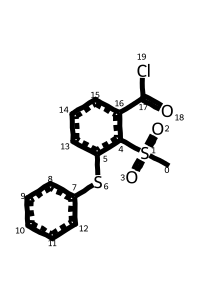 CS(=O)(=O)c1c(Sc2ccccc2)cccc1C(=O)Cl